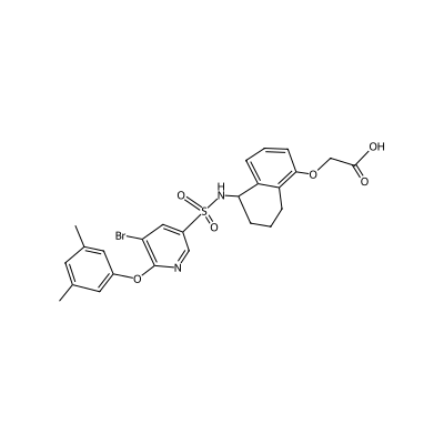 Cc1cc(C)cc(Oc2ncc(S(=O)(=O)NC3CCCc4c(OCC(=O)O)cccc43)cc2Br)c1